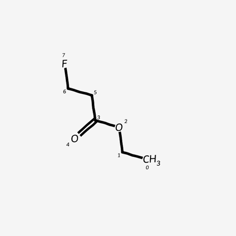 CCOC(=O)CCF